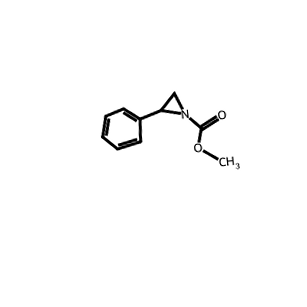 COC(=O)N1CC1c1ccccc1